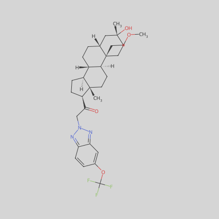 COCC[C@]12CC[C@@](C)(O)C[C@H]1CC[C@H]1[C@@H]3CC[C@H](C(=O)Cn4nc5ccc(OC(F)(F)F)cc5n4)[C@@]3(C)CC[C@@H]12